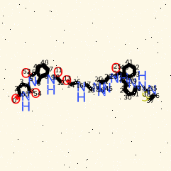 O=C1CCC(N2Cc3c(NC(=O)COCCNCCn4cc(CNC(=O)C5(Cc6cccc(Nc7nccs7)n6)CCCCC5)nn4)cccc3C2=O)C(=O)N1